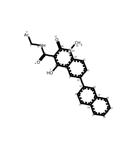 CC(=O)CNC(=O)c1c(O)c2cc(-c3ccc4ccccc4c3)ccc2n(C)c1=O